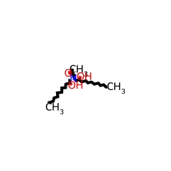 CCCCCCCCCCC(O)CN(CC(C)=O)CC(O)CCCCCCCCCC